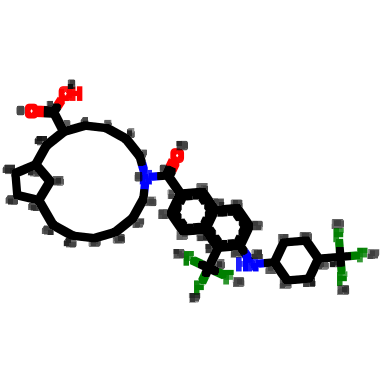 O=C(O)C1CCCCN(C(=O)c2ccc3c(C(F)(F)F)c(NC4CCC(C(F)(F)F)CC4)ccc3c2)CCCCCCC2CCC(C2)C1